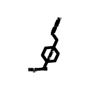 [N-]=[N+]=NCC12CCC(NC(=O)O)(CC1)CC2